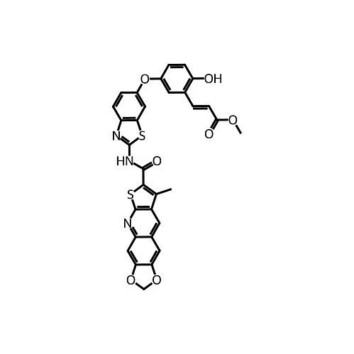 COC(=O)/C=C/c1cc(Oc2ccc3nc(NC(=O)c4sc5nc6cc7c(cc6cc5c4C)OCO7)sc3c2)ccc1O